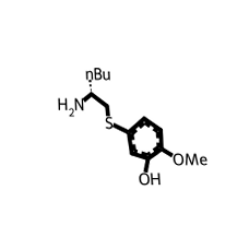 CCCC[C@@H](N)CSc1ccc(OC)c(O)c1